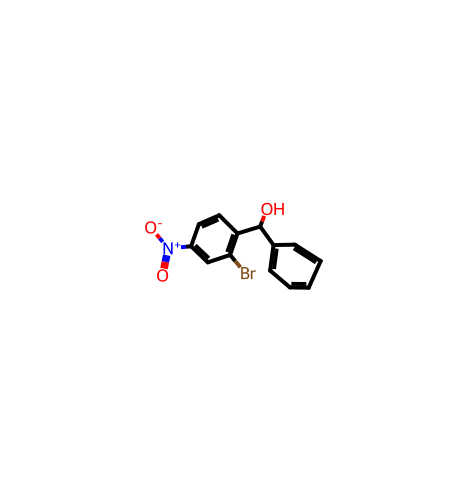 O=[N+]([O-])c1ccc(C(O)c2ccccc2)c(Br)c1